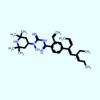 C=Cc1cc(C(/C=C\C)=C/C(=C/CC)CC)ccc1C(=N)NC(=N)N(C)C1CC(C)(C)NC(C)(C)C1